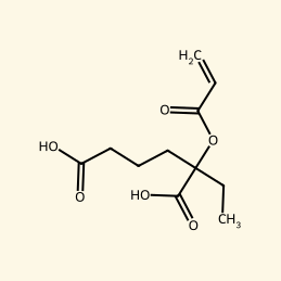 C=CC(=O)OC(CC)(CCCC(=O)O)C(=O)O